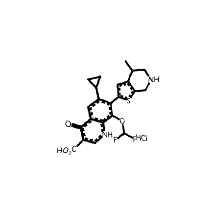 CC1CNCc2sc(-c3c(C4CC4)cc4c(=O)c(C(=O)O)c[nH]c4c3OC(F)F)cc21.Cl